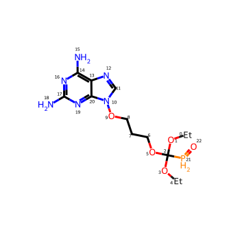 CCOC(OCC)(OCCCOn1cnc2c(N)nc(N)nc21)[PH2]=O